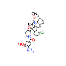 COCCCC[C@@](OC)(c1cccc(Cl)c1-c1cnc2ccccc2c1)[C@@H]1CCCN(C(=O)[C@H]2C[C@@H](N)[C@@H](O)C2)C1